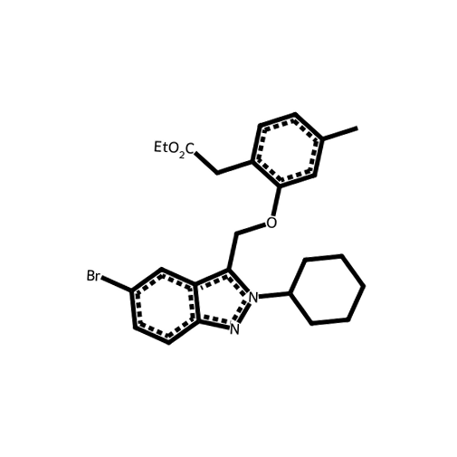 CCOC(=O)Cc1ccc(C)cc1OCc1c2cc(Br)ccc2nn1C1CCCCC1